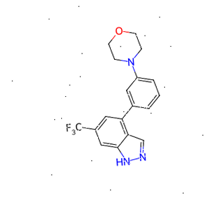 FC(F)(F)c1cc(-c2cccc(N3CCOCC3)c2)c2cn[nH]c2c1